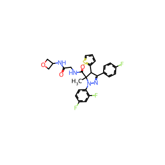 CC1(C(=O)NCC(=O)NC2COC2)C(c2cccs2)C(c2ccc(F)cc2)=NN1c1ccc(F)cc1F